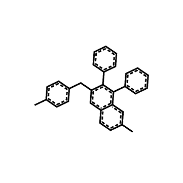 Cc1ccc(Cc2cc3ccc(C)cc3c(-c3ccccc3)c2-c2ccccc2)cc1